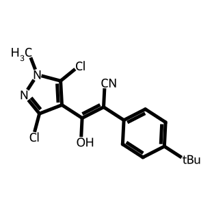 Cn1nc(Cl)c(C(O)=C(C#N)c2ccc(C(C)(C)C)cc2)c1Cl